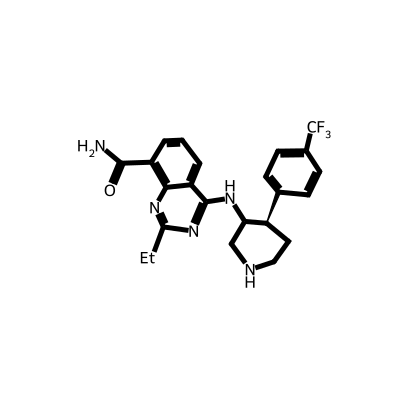 CCc1nc(NC2CNCC[C@@H]2c2ccc(C(F)(F)F)cc2)c2cccc(C(N)=O)c2n1